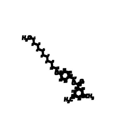 CCCCCCCCCCCCOc1ccc(COC(=O)c2cc(C)cc(C)c2)cc1